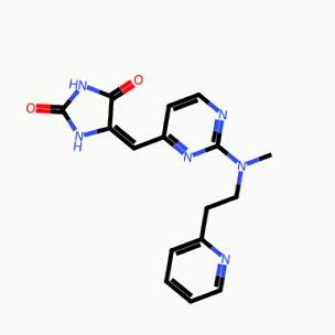 CN(CCc1ccccn1)c1nccc(C=C2NC(=O)NC2=O)n1